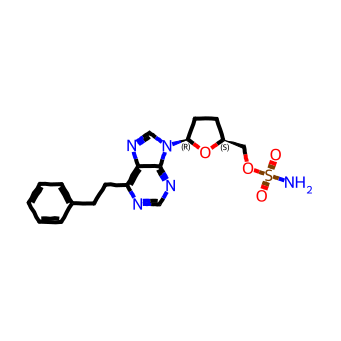 NS(=O)(=O)OC[C@@H]1CC[C@H](n2cnc3c(CCc4ccccc4)ncnc32)O1